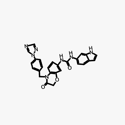 O=C(Nc1ccc2c(c1)OCC(=O)N2Cc1ccc(-n2cncn2)cc1)Nc1ccc2cc[nH]c2c1